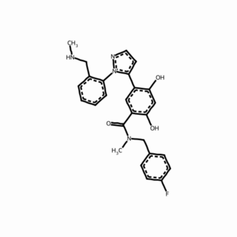 CNCc1ccccc1-n1nccc1-c1cc(C(=O)N(C)Cc2ccc(F)cc2)c(O)cc1O